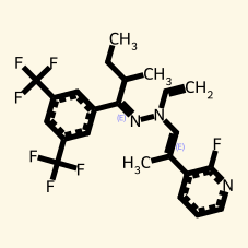 C=CN(/C=C(\C)c1cccnc1F)/N=C(/c1cc(C(F)(F)F)cc(C(F)(F)F)c1)C(C)CC